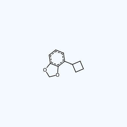 c1cc2c(c([C]3CCC3)c1)OCO2